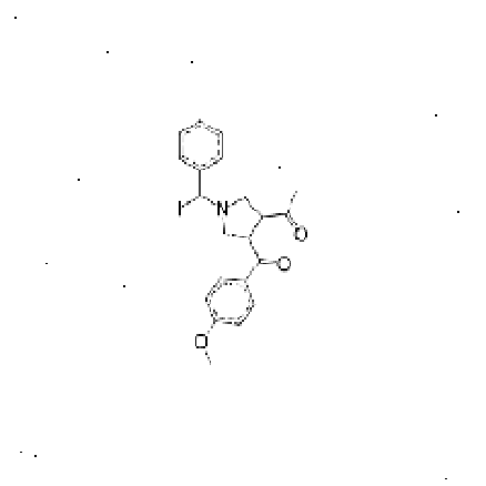 COc1ccc(C(=O)C2CN(C(I)c3ccccc3)CC2C(C)=O)cc1